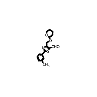 Cc1cccc(-c2nc(COC3CCCCO3)c(C=O)s2)c1